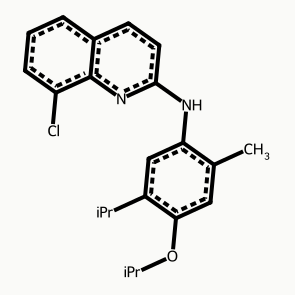 Cc1cc(OC(C)C)c(C(C)C)cc1Nc1ccc2cccc(Cl)c2n1